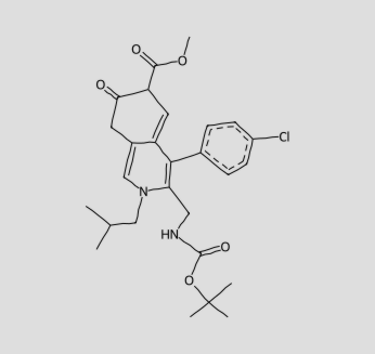 COC(=O)C1C=C2C(=CN(CC(C)C)C(CNC(=O)OC(C)(C)C)=C2c2ccc(Cl)cc2)CC1=O